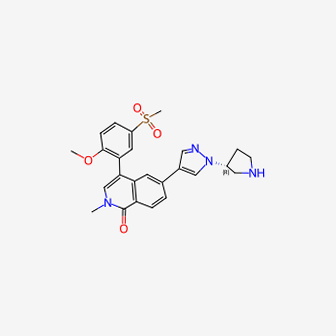 COc1ccc(S(C)(=O)=O)cc1-c1cn(C)c(=O)c2ccc(-c3cnn([C@@H]4CCNC4)c3)cc12